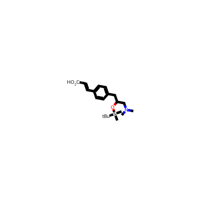 CN(C)CC(Cc1ccc(C=CC(=O)O)cc1)O[Si](C)(C)C(C)(C)C